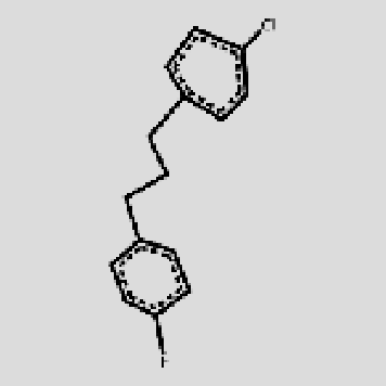 Fc1ccc(C[CH]Cc2ccc(Cl)cc2)cc1